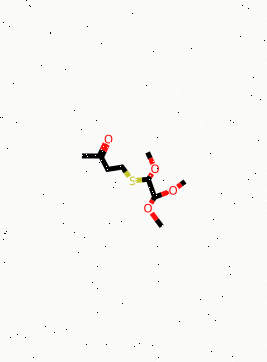 COC(OC)C(OC)SCCC(C)=O